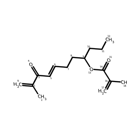 C=C(C)C(=O)C=CCCC(CCC)OC(=O)C(=C)C